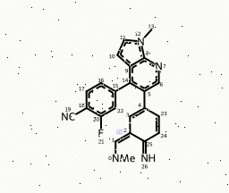 CN/C=C1/C=C(c2cnc3c(ccn3C)c2-c2ccc(C#N)c(F)c2)C=CC1=N